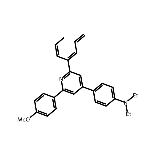 C=C/C=C(\C=C/C)c1cc(-c2ccc(N(CC)CC)cc2)cc(-c2ccc(OC)cc2)n1